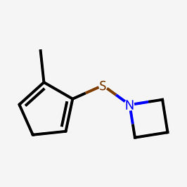 CC1=CCC=C1SN1CCC1